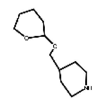 C1CCC(OCC2CCNCC2)OC1